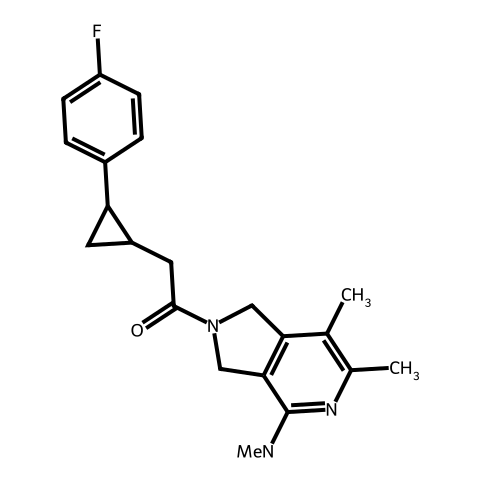 CNc1nc(C)c(C)c2c1CN(C(=O)CC1CC1c1ccc(F)cc1)C2